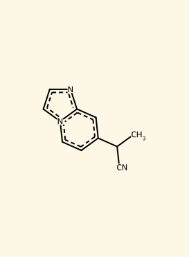 CC(C#N)c1ccn2ccnc2c1